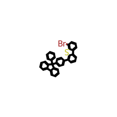 Brc1cccc2c1sc1c(-c3ccc(C4(c5ccccc5)c5ccccc5-c5ccccc54)cc3)cccc12